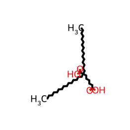 CCCCCCCCCCCCCCCCC(CCCCCCCCCCCCCCCC)(CCCCCC(=O)O)C(=O)O